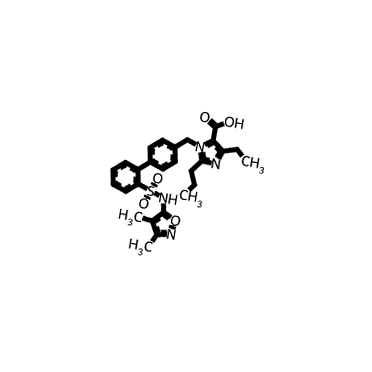 CCCc1nc(CC)c(C(=O)O)n1Cc1ccc(-c2ccccc2S(=O)(=O)Nc2onc(C)c2C)cc1